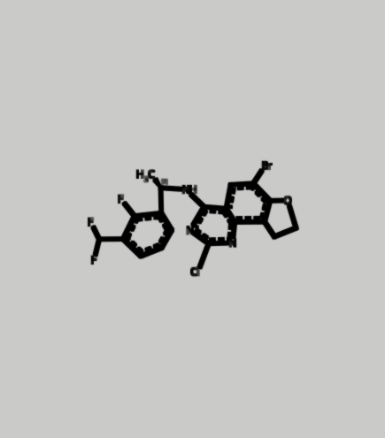 C[C@@H](Nc1nc(Cl)nc2c3c(c(Br)cc12)OCC3)c1cccc(C(F)F)c1F